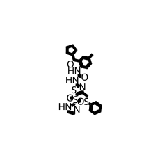 Cc1ccc(NC(=O)Nc2nc(CSc3ccccc3)c(S(=O)(=O)c3ncc[nH]3)s2)c(C(=O)C2CCCC2)c1